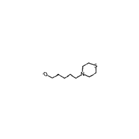 [O]CCCCCN1CCSCC1